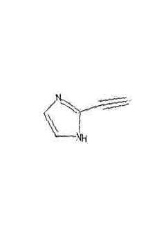 [C]#Cc1ncc[nH]1